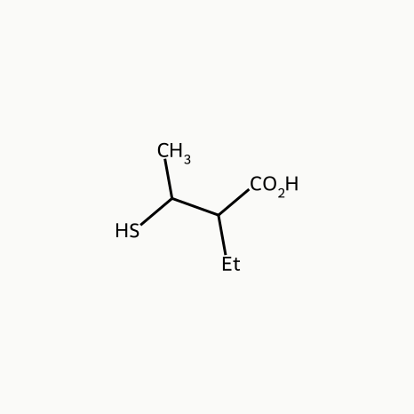 CCC(C(=O)O)C(C)S